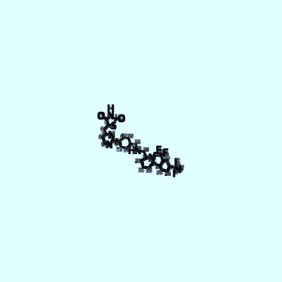 O=C1NC(=O)C(=Cc2ccnc(N3CCC(CNCc4cccc(-c5ccc(C(F)(F)F)cc5C(F)(F)F)n4)CC3)n2)S1